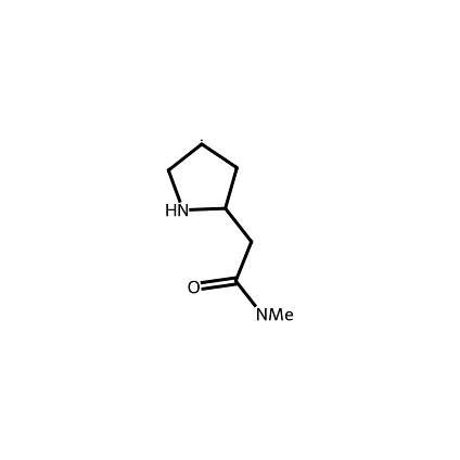 CNC(=O)CC1C[CH]CN1